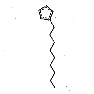 CCCCCCCCCn1cccc1